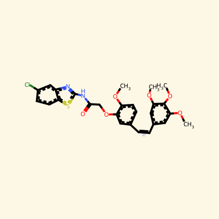 COc1ccc(/C=C\c2cc(OC)c(OC)c(OC)c2)cc1OCC(=O)Nc1nc2cc(Cl)ccc2s1